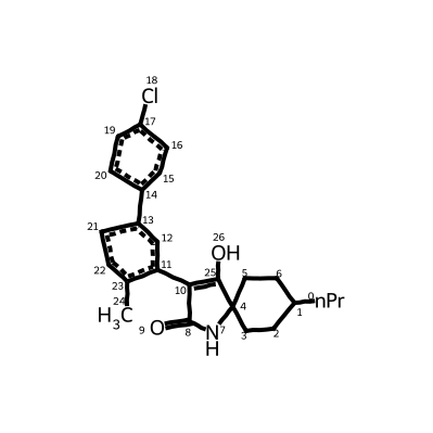 CCCC1CCC2(CC1)NC(=O)C(c1cc(-c3ccc(Cl)cc3)ccc1C)=C2O